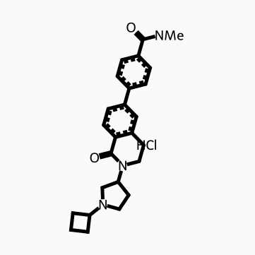 CNC(=O)c1ccc(-c2ccc3c(c2)CCN(C2CCN(C4CCC4)C2)C3=O)cc1.Cl